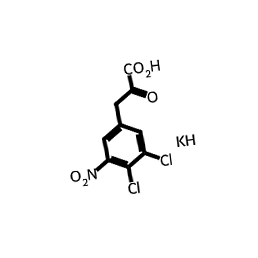 O=C(O)C(=O)Cc1cc(Cl)c(Cl)c([N+](=O)[O-])c1.[KH]